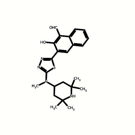 CN(c1nnc(-c2cc3ccccc3c(C=O)c2O)s1)C1CC(C)(C)NC(C)(C)C1